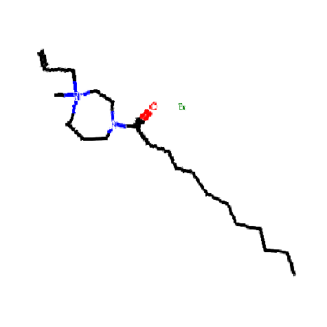 C=CC[N+]1(C)CCCN(C(=O)CCCCCCCCCCC)CC1.[Br-]